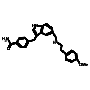 COc1ccc(CCNCc2ccc3[nH]cc(Cc4ccc(C(N)=O)cc4)c3c2)cc1